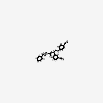 N#Cc1ccc(CCC(CC(=O)NCCc2ccccc2)c2cccc(C#N)c2)cc1